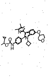 Cc1nc(-c2c(-c3ccc(NC(=O)OC(C)C4CC4)cc3)n(C3CCC3)c3cc(OC4CCOCC4)ccc23)sc1C